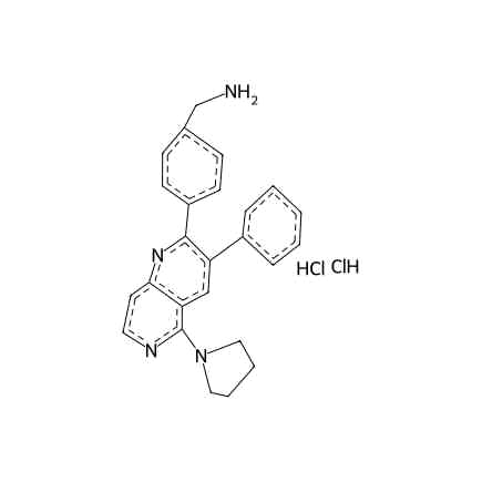 Cl.Cl.NCc1ccc(-c2nc3ccnc(N4CCCC4)c3cc2-c2ccccc2)cc1